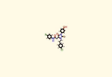 O=C(CC1C(=O)N(c2ccc(O)cc2)C(=S)N1CCc1ccc(Cl)cc1)Nc1ccc(F)cc1